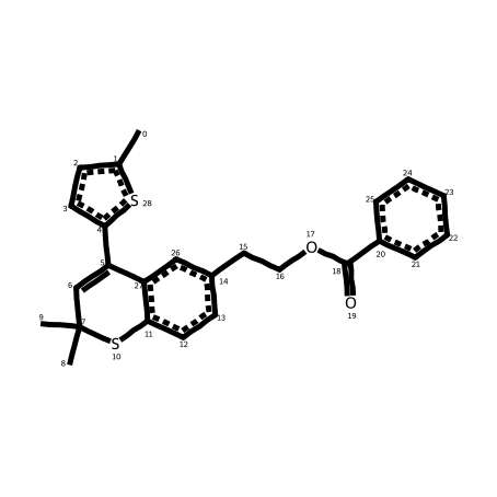 Cc1ccc(C2=CC(C)(C)Sc3ccc(CCOC(=O)c4ccccc4)cc32)s1